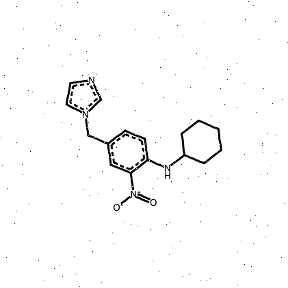 O=[N+]([O-])c1cc(Cn2ccnc2)ccc1NC1CCCCC1